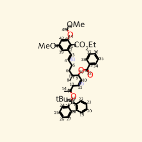 CCOC(=O)c1c(/C=C/CC[C@H](C)C(/C=C\C[C@H](C)O[Si](c2ccccc2)(c2ccccc2)C(C)(C)C)OC(=O)c2ccccc2)cc(OC)cc1OCOC